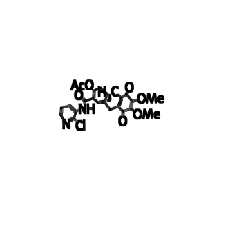 COC1=C(OC)C(=O)C(Cc2ccc(OC(C)=O)c(C(=O)Nc3cccnc3Cl)c2)=C(C)C1=O